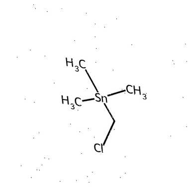 [CH3][Sn]([CH3])([CH3])[CH2]Cl